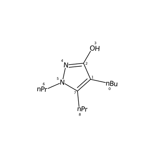 CCCCc1c(O)nn(CCC)c1CCC